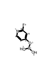 OB(O)Oc1ccnc(F)c1